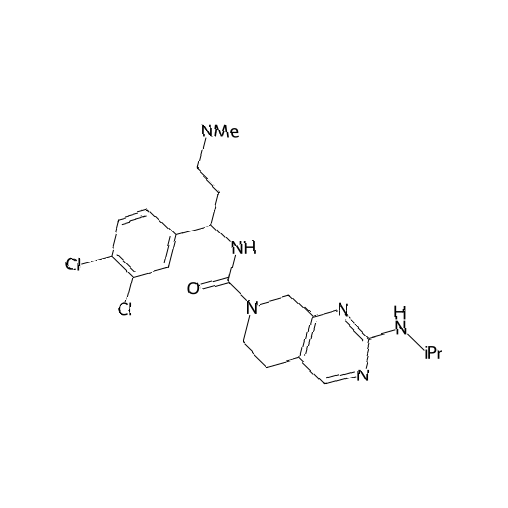 CNCCC(NC(=O)N1CCc2cnc(NC(C)C)nc2C1)c1ccc(Cl)c(Cl)c1